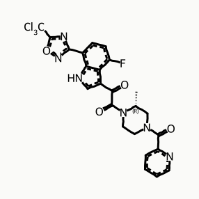 C[C@@H]1CN(C(=O)c2ccccn2)CCN1C(=O)C(=O)c1c[nH]c2c(-c3noc(C(Cl)(Cl)Cl)n3)ccc(F)c12